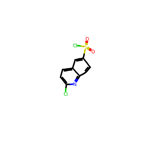 O=S(=O)(Cl)c1ccc2nc(Cl)ccc2c1